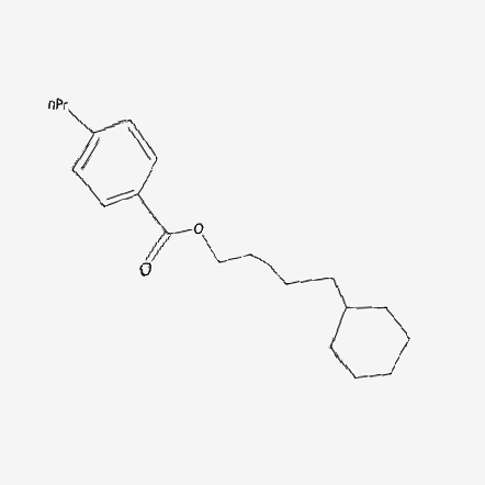 CCCc1ccc(C(=O)OCCCCC2CCCCC2)cc1